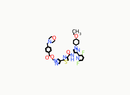 CCO[C@H]1CC[C@H](n2cc(NC(=O)c3csc(-c4cnn(COC(=O)c5ccc(CN6CCOCC6)cc5)c4)n3)c(-c3nc(F)ccc3F)n2)CC1